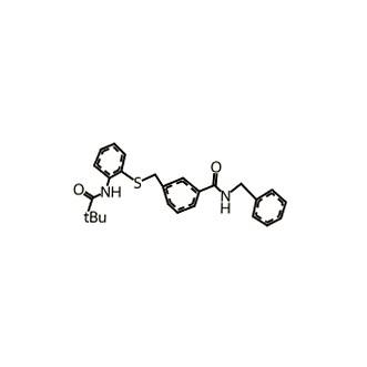 CC(C)(C)C(=O)Nc1ccccc1SCc1cccc(C(=O)NCc2ccccc2)c1